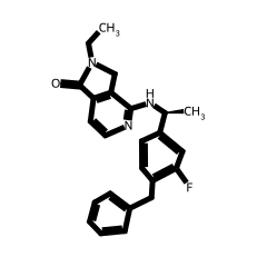 CCN1Cc2c(ccnc2N[C@@H](C)c2ccc(Cc3ccccc3)c(F)c2)C1=O